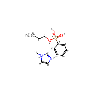 CCCCCCCCCCCCOS(=O)(=O)c1ccccc1.Cn1ccnc1